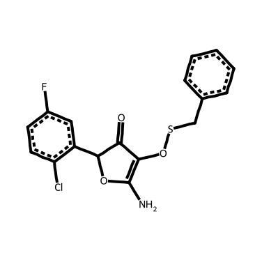 NC1=C(OSCc2ccccc2)C(=O)C(c2cc(F)ccc2Cl)O1